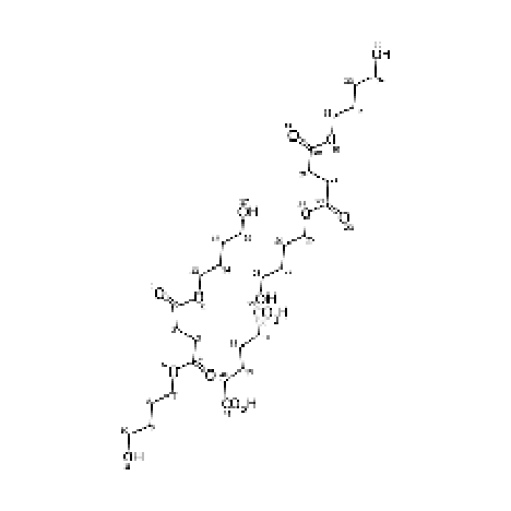 O=C(CCC(=O)OCCCCO)OCCCCO.O=C(CCC(=O)OCCCCO)OCCCCO.O=C(O)CCCCC(=O)O